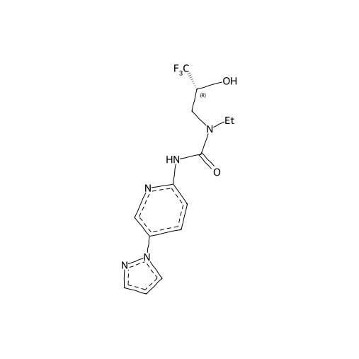 CCN(C[C@@H](O)C(F)(F)F)C(=O)Nc1ccc(-n2cccn2)cn1